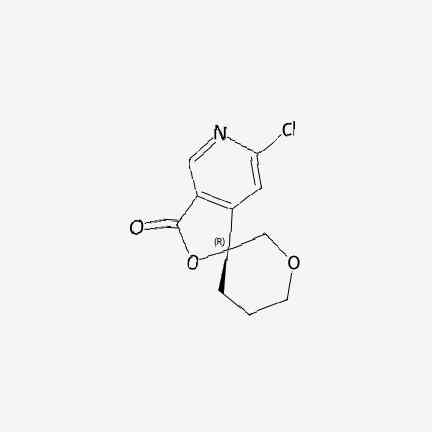 O=C1O[C@]2(CCCOC2)c2cc(Cl)ncc21